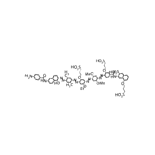 CCOc1cc(N=Nc2cc(C)c(N=Nc3ccc4cc(NC(=O)c5ccc(N)cc5)ccc4c3O)cc2C)c(OCCCS(=O)(=O)O)cc1N=Nc1cc(OC)c(N=Nc2ccc(C(=O)Nc3cc4c(OCCCS(=O)(=O)O)cccc4cc3S(=O)(=O)O)cc2OCCCS(=O)(=O)O)cc1OC